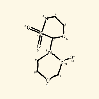 O=S1(=O)[N]CCOC1N1CCOC[S+]1[O-]